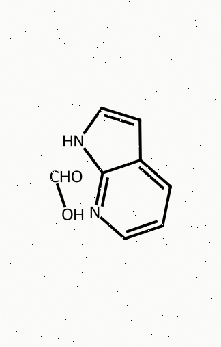 O=CO.c1cnc2[nH]ccc2c1